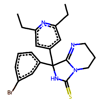 CCc1cc(C2(c3cccc(Br)c3)NC(=S)N3CCCN=C32)cc(CC)n1